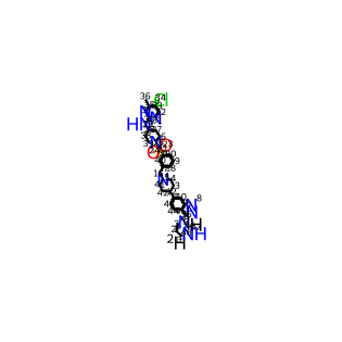 [2H]C1C=CN(c2nn(C)c3cc(C4CCN(Cc5cccc(S(=O)(=O)N6CCC(Nc7ncc(Cl)c(C)n7)CC6)c5)CC4)ccc23)C([2H])N1